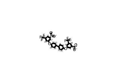 O=[N+]([O-])c1cc(Oc2ccc(-c3ccc(Oc4cc([N+](=O)[O-])cc(C(F)(F)F)c4)cc3)cc2)cc(C(F)(F)F)c1